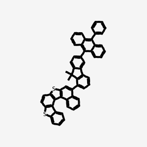 CC1(C)c2ccc(-c3c4ccccc4c(-c4ccccc4)c4ccccc34)cc2-c2cccc(-c3cc4sc5ccc6sc7ccccc7c6c5c4c4ccccc34)c21